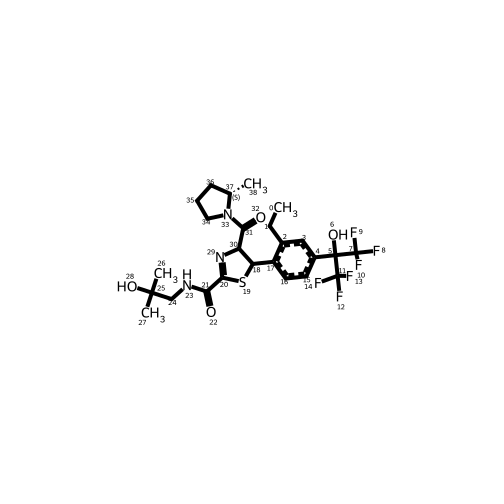 CCc1cc(C(O)(C(F)(F)F)C(F)(F)F)ccc1C1SC(C(=O)NCC(C)(C)O)=NC1C(=O)N1CCC[C@@H]1C